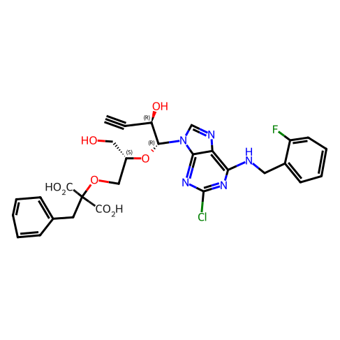 C#C[C@@H](O)[C@@H](O[C@@H](CO)COC(Cc1ccccc1)(C(=O)O)C(=O)O)n1cnc2c(NCc3ccccc3F)nc(Cl)nc21